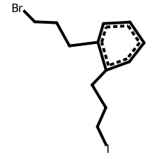 BrCCCc1ccccc1CCCI